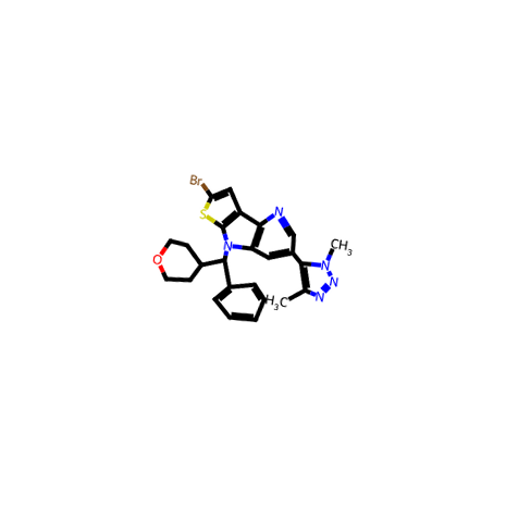 Cc1nnn(C)c1-c1cnc2c3cc(Br)sc3n(C(c3ccccc3)C3CCOCC3)c2c1